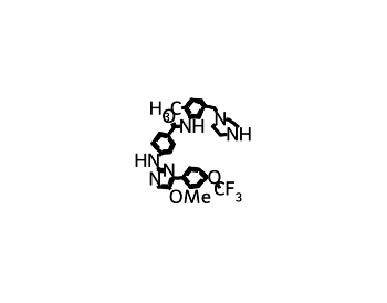 COc1cnc(Nc2ccc(C(=O)Nc3cc(CN4CCNCC4)ccc3C)cc2)nc1-c1ccc(OC(F)(F)F)cc1